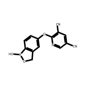 N#Cc1cnc(Oc2ccc3c(c2)COB3O)c(C#N)c1